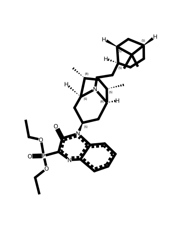 CCOP(=O)(OCC)c1nc2ccccc2n([C@@H]2C[C@@H]3[C@@H](C)C[C@@H](C)[C@H](C2)N3CC[C@@H]2CC[C@H]3C[C@@H]2C3(C)C)c1=O